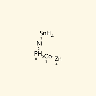 P.[Co].[Ni].[SnH4].[Zn]